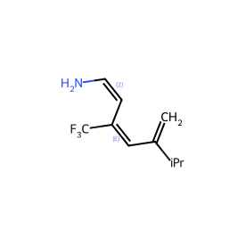 C=C(/C=C(\C=C/N)C(F)(F)F)C(C)C